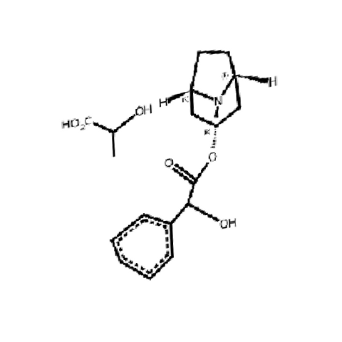 CC(O)C(=O)O.CN1[C@@H]2CC[C@H]1C[C@@H](OC(=O)C(O)c1ccccc1)C2